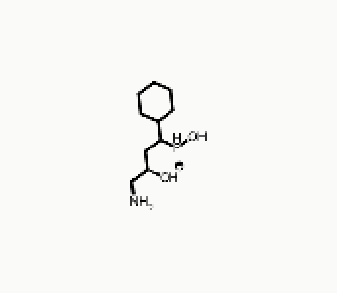 NC[C@H](O)CC(C1CCCCC1)[PH](=O)O